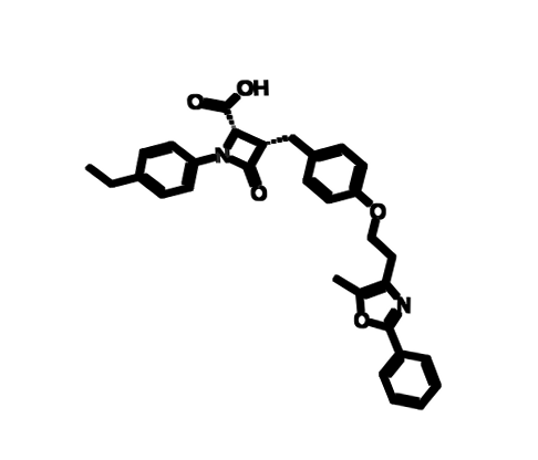 CCc1ccc(N2C(=O)[C@@H](Cc3ccc(OCCc4nc(-c5ccccc5)oc4C)cc3)[C@H]2C(=O)O)cc1